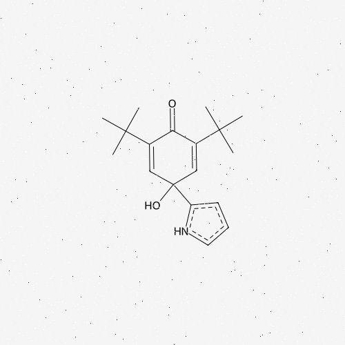 CC(C)(C)C1=CC(O)(c2ccc[nH]2)C=C(C(C)(C)C)C1=O